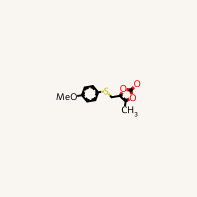 COc1ccc(SCc2oc(=O)oc2C)cc1